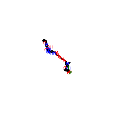 C=CCn1c(C(C)(C)COCCOCCOCCOCC(=O)NCc2ccc(-c3c4ncn(CC5(O)CCN(C(=O)C[C@H](C)c6ccccc6)CC5)c(=O)c4nn3C)cc2)cc2cc(NC(=O)C3(c4ccc5c(c4)OC(F)(F)O5)CC3)c(F)cc21